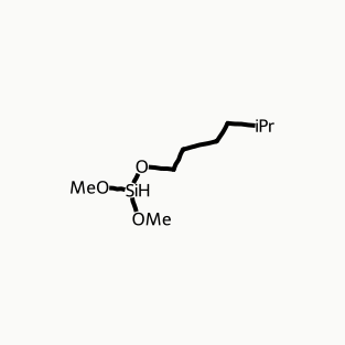 CO[SiH](OC)OCCCCC(C)C